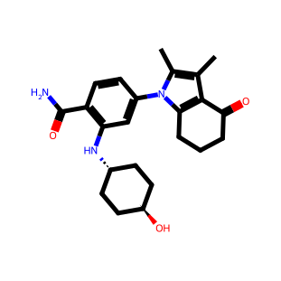 Cc1c2c(n(-c3ccc(C(N)=O)c(N[C@H]4CC[C@H](O)CC4)c3)c1C)CCCC2=O